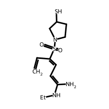 C=C/C(=C\C=C(/N)NCC)S(=O)(=O)N1CCC(S)C1